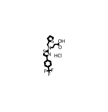 Cl.O=C(O)CCN(Cc1cccs1)c1nc(-c2ccc(C(F)(F)F)cc2)cs1